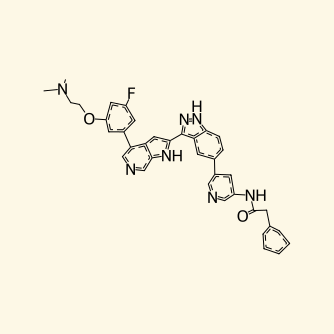 CN(C)CCOc1cc(F)cc(-c2cncc3[nH]c(-c4n[nH]c5ccc(-c6cncc(NC(=O)Cc7ccccc7)c6)cc45)cc23)c1